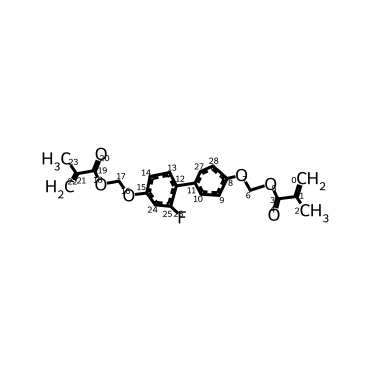 C=C(C)C(=O)OCOc1ccc(-c2ccc(OCOC(=O)C(=C)C)cc2F)cc1